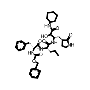 CCC[C@H](NC(=O)[C@@H](Cc1ccccc1)NC(=O)OCc1ccccc1)C(=O)N[C@@H](C[C@@H]1CCNC1=O)C(O)C(=O)NC1CCCCC1